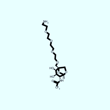 NCCOCCOCCOCCOC[C@@]12CO[C@H](O1)[C@H](NC(=O)C(F)(F)F)[C@@H](O)[C@H]2O